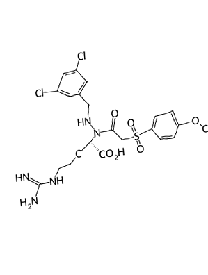 N=C(N)NCCC[C@@H](C(=O)O)N(NCc1cc(Cl)cc(Cl)c1)C(=O)CS(=O)(=O)c1ccc(OC(F)(F)F)cc1